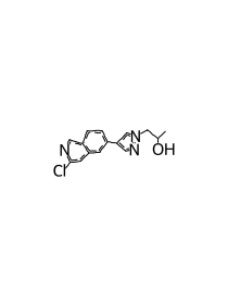 CC(O)Cn1cc(-c2ccc3cnc(Cl)cc3c2)cn1